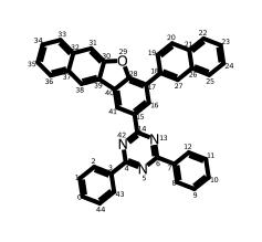 c1ccc(-c2nc(-c3ccccc3)nc(-c3cc(-c4ccc5ccccc5c4)c4oc5cc6ccccc6cc5c4c3)n2)cc1